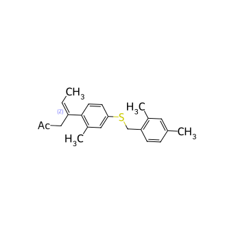 C/C=C(/CC(C)=O)c1ccc(SCc2ccc(C)cc2C)cc1C